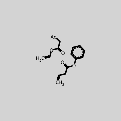 C=CCC(=O)Oc1ccccc1.C=COC(=O)CC(C)=O